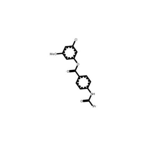 COc1cc(Cl)cc(OC(=O)c2ccc(NC(=O)C(C)C)cc2)c1